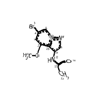 COc1cc(Br)cn2ncc(NC(C)=O)c12